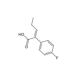 CCC=C(C(=O)O)c1ccc(F)cc1